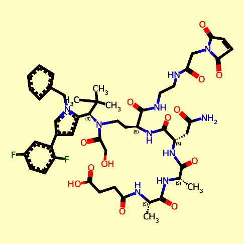 C[C@H](NC(=O)CCC(=O)O)C(=O)N[C@@H](C)C(=O)N[C@@H](CC(N)=O)C(=O)N[C@@H](CCN(C(=O)CO)[C@@H](c1cc(-c2cc(F)ccc2F)cn1Cc1ccccc1)C(C)(C)C)C(=O)NCCNC(=O)CN1C(=O)C=CC1=O